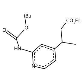 CCOC(=O)CC(C)c1ccnc(NC(=O)OC(C)(C)C)c1